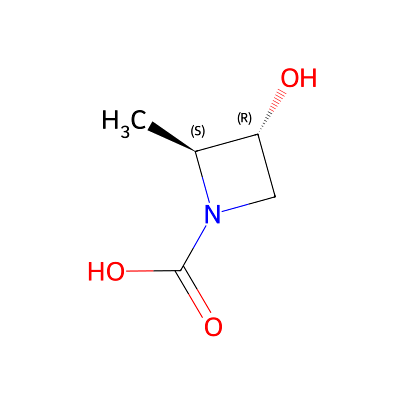 C[C@H]1[C@H](O)CN1C(=O)O